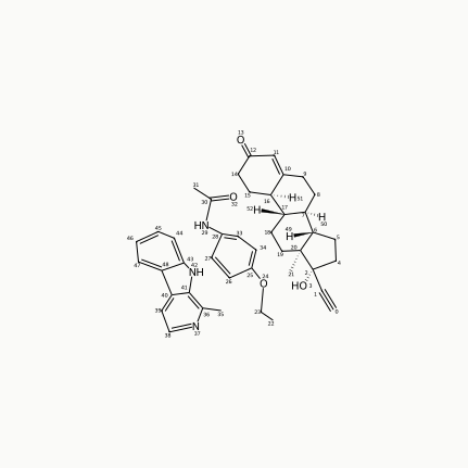 C#C[C@]1(O)CC[C@H]2[C@@H]3CCC4=CC(=O)CC[C@@H]4[C@H]3CC[C@@]21C.CCOc1ccc(NC(C)=O)cc1.Cc1nccc2c1[nH]c1ccccc12